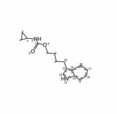 O=C(NC1CC1)OCCC[CH]c1c[nH]c2ccccc12